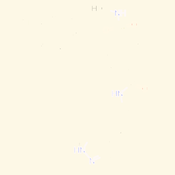 CNS(=O)(=O)c1ccc(C(=O)NCCCc2cn[nH]c2)cc1C#Cc1ccc(F)cc1